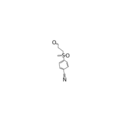 C=S(=O)(CCC=O)c1ccc(C#N)cc1